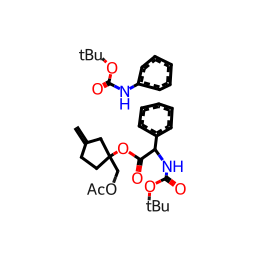 C=C1CCC(COC(C)=O)(OC(=O)C(NC(=O)OC(C)(C)C)c2ccccc2)C1.CC(C)(C)OC(=O)Nc1ccccc1